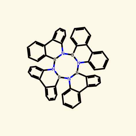 c1ccc2c(c1)B1N(B3c4ccccc4-c4ccccc4N3B3c4ccccc4-c4ccccc4N3B3c4ccccc4-c4ccccc4N13)c1ccccc1-2